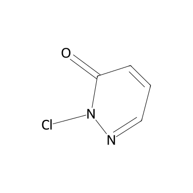 O=c1cccnn1Cl